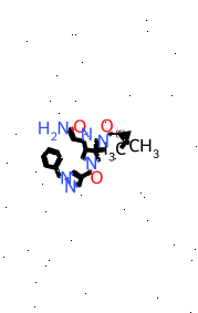 CC1(C)C[C@@H]1C(=O)N1CC2(CN(C(=O)c3cnn(Cc4ccccc4)c3)CC2c2cc(N)on2)C1